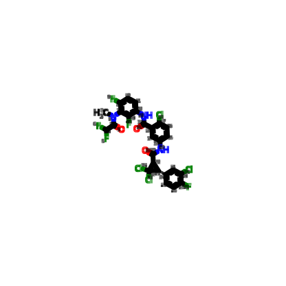 CN(C(=O)C(F)F)c1c(F)ccc(NC(=O)c2cc(NC(=O)C3[C@H](c4ccc(F)c(Cl)c4)C3(Cl)Cl)ccc2Cl)c1F